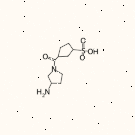 NC1CCN(C(=O)C2CCC(S(=O)(=O)O)C2)C1